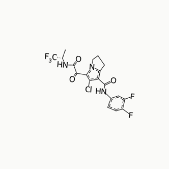 C[C@H](NC(=O)C(=O)c1c(Cl)c(C(=O)Nc2ccc(F)c(F)c2)c2n1CCC2)C(F)(F)F